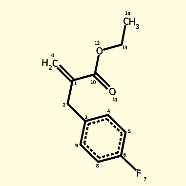 C=C(Cc1ccc(F)cc1)C(=O)OCC